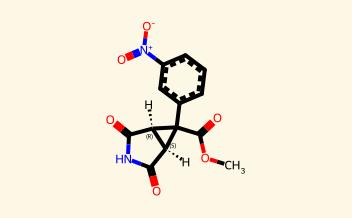 COC(=O)C1(c2cccc([N+](=O)[O-])c2)[C@@H]2C(=O)NC(=O)[C@@H]21